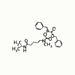 CC(C)NC(=O)CCCCN(C)C(=O)O[C@@H](Cc1ccccc1)C(=O)OCc1ccccc1